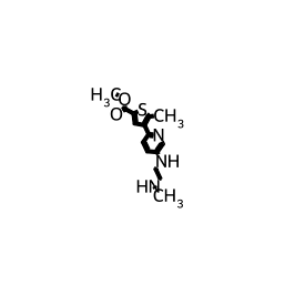 CNCCNc1ccc(-c2cc(C(=O)OC)sc2C)nc1